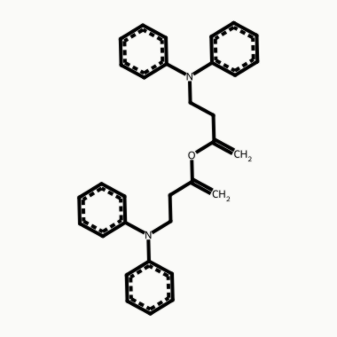 C=C(CCN(c1ccccc1)c1ccccc1)OC(=C)CCN(c1ccccc1)c1ccccc1